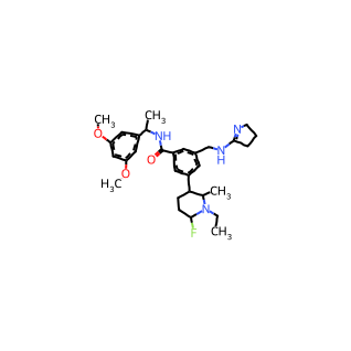 CCN1C(F)CCC(c2cc(CNC3=NCCC3)cc(C(=O)NC(C)c3cc(OC)cc(OC)c3)c2)C1C